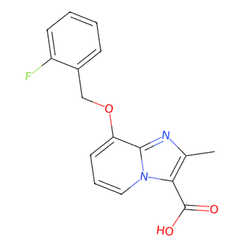 Cc1nc2c(OCc3ccccc3F)cccn2c1C(=O)O